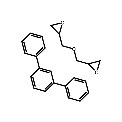 C(OCC1CO1)C1CO1.c1ccc(-c2cccc(-c3ccccc3)c2)cc1